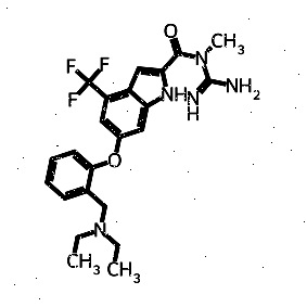 CCN(CC)Cc1ccccc1Oc1cc(C(F)(F)F)c2cc(C(=O)N(C)C(=N)N)[nH]c2c1